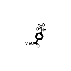 COC(=O)c1ccc(N(C)S(C)(=O)=O)cc1